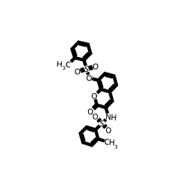 Cc1ccccc1S(=O)(=O)Nc1cc2cccc(OS(=O)(=O)c3ccccc3C)c2oc1=O